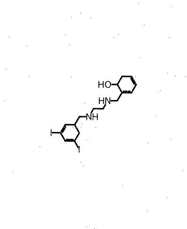 OC1CC=CC=C1CNCCNCC1C=C(I)C=C(I)C1